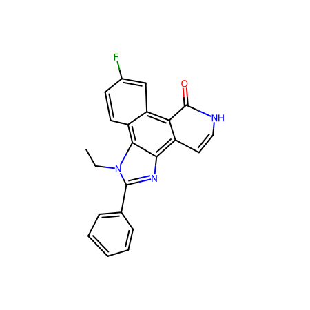 CCn1c(-c2ccccc2)nc2c3cc[nH]c(=O)c3c3cc(F)ccc3c21